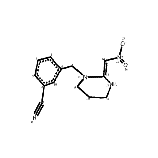 N#Cc1cccc(CN2CCCNC2=C[N+](=O)[O-])c1